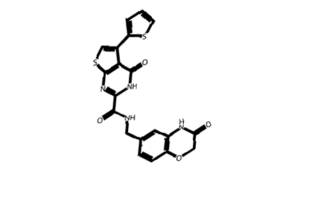 O=C1COc2ccc(CNC(=O)c3nc4scc(-c5cccs5)c4c(=O)[nH]3)cc2N1